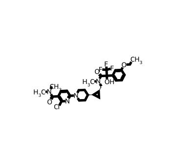 CCOc1cccc(C(O)(C(=O)N(C)C[C@@H]2C[C@@H]2C2CCN(c3ccc(C(=O)N(C)C)c(Cl)n3)CC2)C(F)(F)F)c1